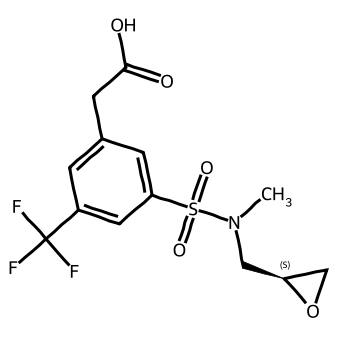 CN(C[C@H]1CO1)S(=O)(=O)c1cc(CC(=O)O)cc(C(F)(F)F)c1